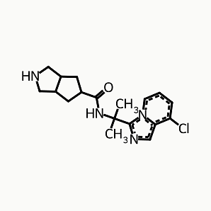 CC(C)(NC(=O)C1CC2CNCC2C1)c1ncc2c(Cl)cccn12